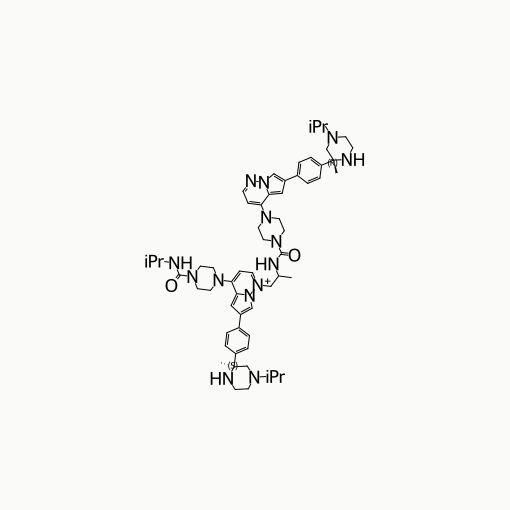 CC(C)NC(=O)N1CCN(c2cc[n+](CC(C)NC(=O)N3CCN(c4ccnn5cc(-c6ccc([C@]7(C)CN(C(C)C)CCN7)cc6)cc45)CC3)n3cc(-c4ccc([C@@]5(C)CN(C(C)C)CCN5)cc4)cc23)CC1